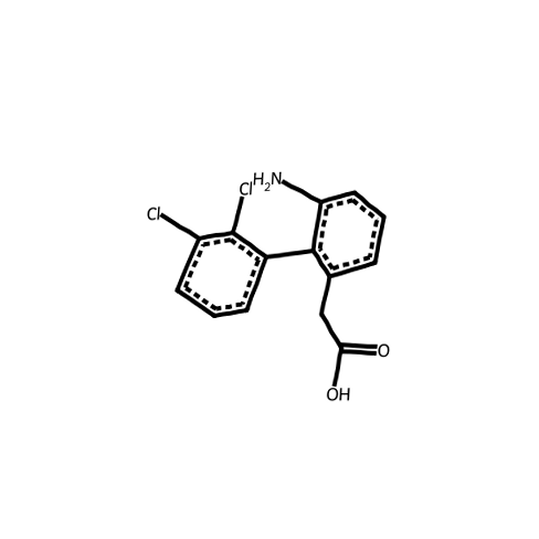 Nc1cccc(CC(=O)O)c1-c1cccc(Cl)c1Cl